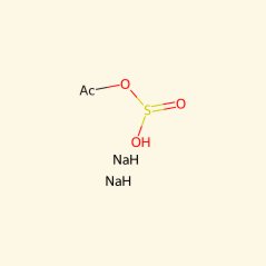 CC(=O)OS(=O)O.[NaH].[NaH]